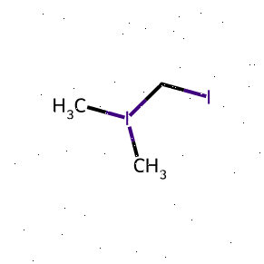 CI(C)CI